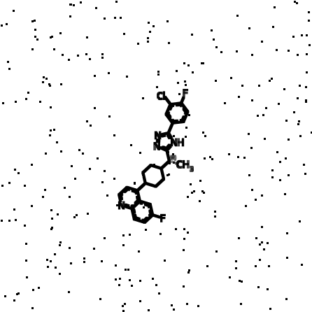 C[C@@H](c1nnc(-c2ccc(F)c(Cl)c2)[nH]1)C1CCC(c2ccnc3ccc(F)cc23)CC1